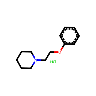 Cl.c1ccc(OCCN2CCCCC2)cc1